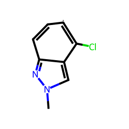 Cn1cc2c(Cl)[c]ccc2n1